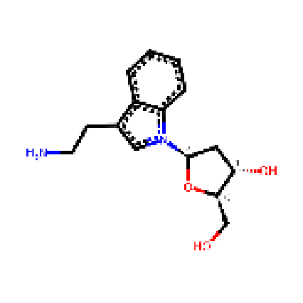 NCCc1cn([C@H]2C[C@H](O)[C@@H](CO)O2)c2ccccc12